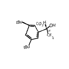 CC(C)(C)c1cc(C(C)(C)C)cc([C@@](O)(C(=O)O)C(F)(F)F)c1